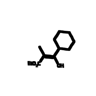 CCOC(=O)C(C)=C(O)C1CCCCC1